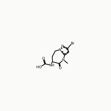 CN1C(=O)C(NC(=O)O)CCn2nc(Br)cc21